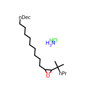 CCCCCCCCCCCCCCCCCCCC1OC1C(C)(C)CCC.Cl.N